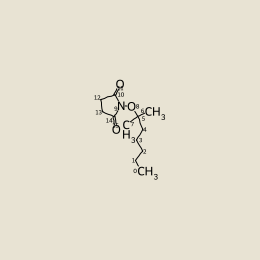 CCCCCC(C)(C)ON1C(=O)CCC1=O